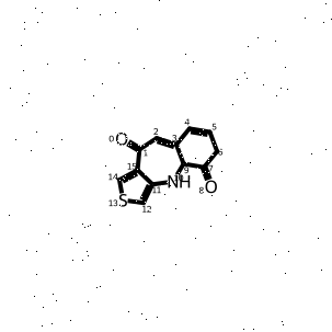 O=C1C=C2C=CCC(=O)C2Nc2cscc21